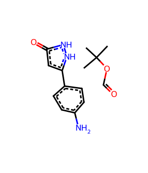 CC(C)(C)OC=O.Nc1ccc(-c2cc(=O)[nH][nH]2)cc1